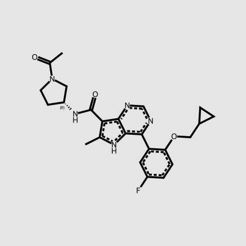 CC(=O)N1CC[C@@H](NC(=O)c2c(C)[nH]c3c(-c4cc(F)ccc4OCC4CC4)ncnc23)C1